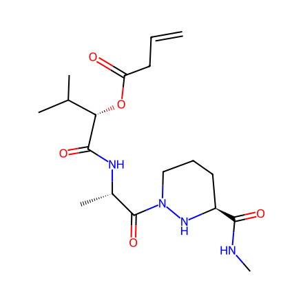 C=CCC(=O)O[C@H](C(=O)N[C@@H](C)C(=O)N1CCC[C@@H](C(=O)NC)N1)C(C)C